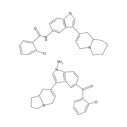 Nn1cc(C2=CCN3CCCC3C2)c2cc(C(=O)c3ccccc3Cl)ccc21.O=C(Nc1ccc2occ(C3=CCN4CCCCC4C3)c2c1)c1ccccc1Cl